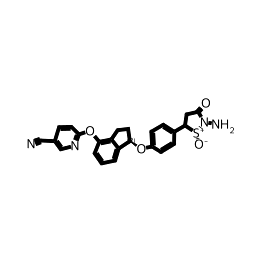 N#Cc1ccc(Oc2cccc3c2CC[C@H]3Oc2ccc(C3CC(=O)N(N)[S+]3[O-])cc2)nc1